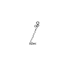 CCCCCCCCCCCCCCCCCCCCC/C=C/CC(=O)Oc1ccccc1